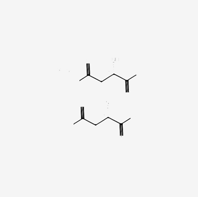 N[C@@H](CC(=O)[O-])C(=O)[O-].N[C@@H](CC(=O)[O-])C(=O)[O-].[Sr+2].[Sr+2]